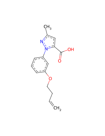 C=CCCOc1cccc(-n2nc(C)cc2C(=O)O)c1